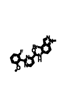 COc1cccc(F)c1-c1nccc(C(=O)Nc2ccc3c(cnn3C)c2Br)n1